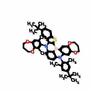 Cc1cc(C(C)(C)C)cc(C)c1N1c2cc3c(cc2B2c4sc5ccc(C(C)(C)C)cc5c4N(c4c(C)cc5c(c4C)OCCCO5)c4cccc1c42)OCCCO3